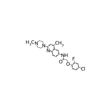 Cc1cc(N2CCN(C)CC2)nc2ccc(NC(=O)COc3ccc(Cl)cc3F)cc12